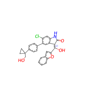 O=C1Nc2cc(Cl)c(-c3ccc(C4(CO)CC4)cc3)cc2/C1=C(/O)c1cc2ccccc2o1